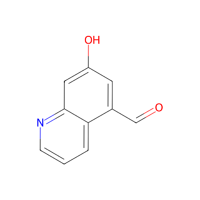 O=Cc1cc(O)cc2ncccc12